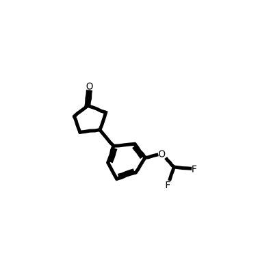 O=C1CCC(c2cccc(OC(F)F)c2)C1